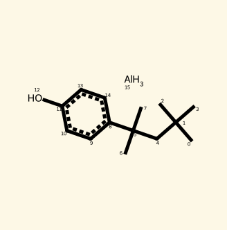 CC(C)(C)CC(C)(C)c1ccc(O)cc1.[AlH3]